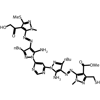 CCCCc1nn(-c2cc(-n3nc(CCCC)c(/N=N/c4c(C(=O)CO)c(SC)nn4C)c3N)ncn2)c(N)c1/N=N/c1c(C(=O)OC)c(CS)nn1C